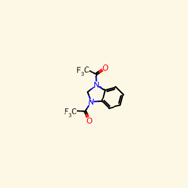 O=C(N1CN(C(=O)C(F)(F)F)c2ccccc21)C(F)(F)F